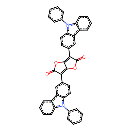 O=C1OC2=C(c3ccc4c(c3)c3ccccc3n4-c3ccccc3)C(=O)OC2=C1c1ccc2c(c1)c1ccccc1n2-c1ccccc1